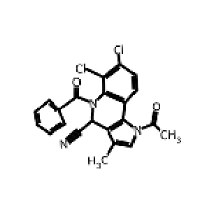 CC(=O)n1cc(C)c2c1-c1ccc(Cl)c(Cl)c1N(C(=O)c1ccccc1)C2C#N